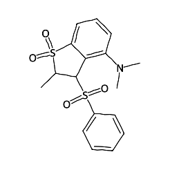 CC1C(S(=O)(=O)c2ccccc2)c2c(N(C)C)cccc2S1(=O)=O